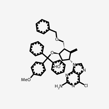 C=C1[C@@H](COCc2ccccc2)[C@H](OC(c2ccccc2)(c2ccccc2)c2ccc(OC)cc2)[C@H](O)[C@H]1n1cnc2c(Cl)nc(N)nc21